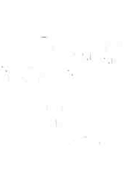 CC(=O)C=C(N)CNC(=O)c1c(-c2ccccc2)c(-c2ccc(F)cc2)c(CC[C@@H](O)C[C@@H](O)CC(=O)[O-])n1C(C)C.[Na+]